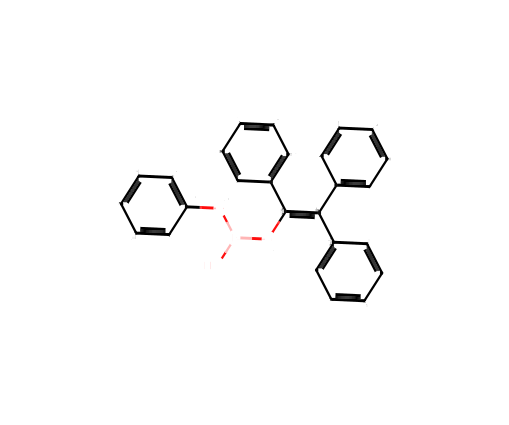 OB(OC(=C(c1ccccc1)c1ccccc1)c1ccccc1)Oc1ccccc1